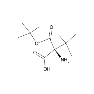 CC(C)(C)OC(=O)[C@@](N)(C(=O)O)C(C)(C)C